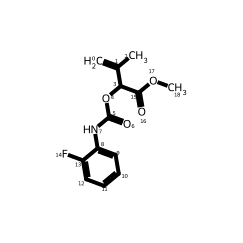 C=C(C)C(OC(=O)Nc1ccccc1F)C(=O)OC